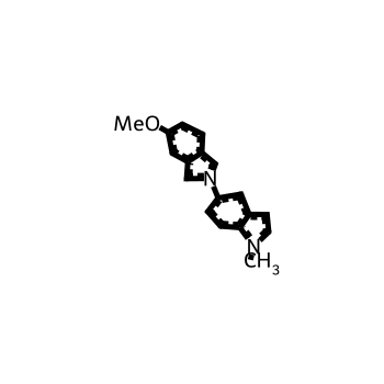 COc1ccc2cn(-c3ccc4c(ccn4C)c3)cc2c1